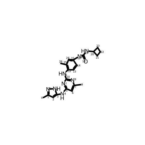 Cc1cc(Nc2cc(C)nc(Nc3ccc(NC(=O)NC4CCC4)cc3C)n2)[nH]n1